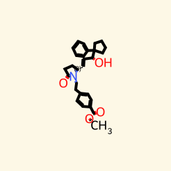 COC(=O)c1ccc(CCN2C(=O)CC[C@@H]2C=CC(O)C2(c3ccccc3)CCCC2)cc1